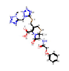 Cn1nnnc1Cn1nnnc1SCC1=C(C(=O)O)N2C(=O)[C@@H](NC(=O)COc3ccccc3)[C@H]2SC1